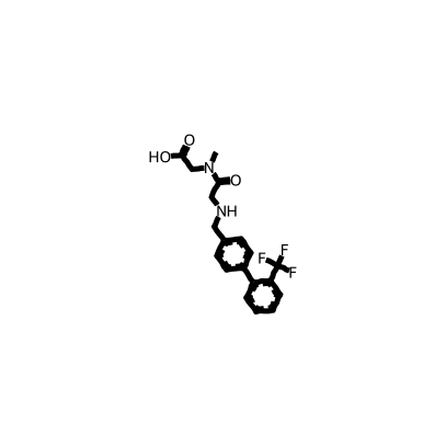 CN(CC(=O)O)C(=O)CNCc1ccc(-c2ccccc2C(F)(F)F)cc1